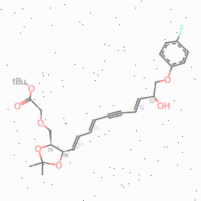 CC(C)(C)OC(=O)COC[C@@H]1OC(C)(C)O[C@@H]1/C=C/C=C/C#C/C=C/[C@H](O)COc1ccc(F)cc1